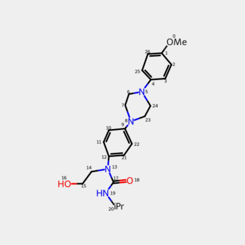 COc1ccc(N2CCN(c3ccc(N(CCO)C(=O)NC(C)C)cc3)CC2)cc1